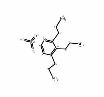 NCCc1ccnc(CCN)c1CCN.O=S(=O)=O